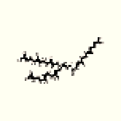 CC(C)=CCC/C(C)=C/CC/C(C)=C/CN(C)CCCN(C/C=C(\C)CC/C=C(\C)CCC=C(C)C)C/C=C(\C)CC/C=C(\C)CCC=C(C)C